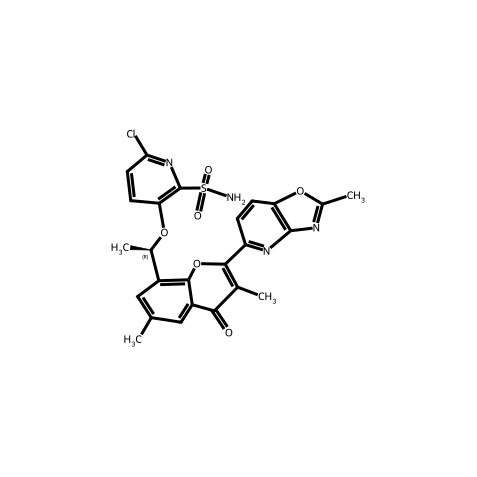 Cc1cc([C@@H](C)Oc2ccc(Cl)nc2S(N)(=O)=O)c2oc(-c3ccc4oc(C)nc4n3)c(C)c(=O)c2c1